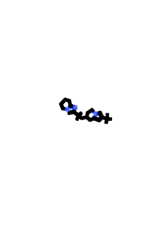 CC(C)(C)c1cc2n(c1)CCC(CC(C)(C)c1cn3c(n1)CCCC3)C2